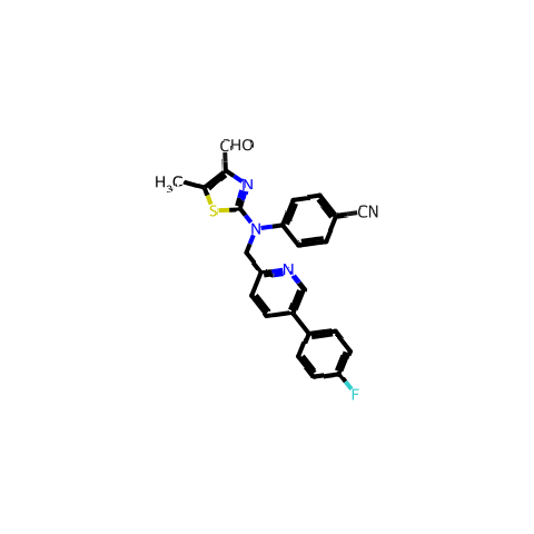 Cc1sc(N(Cc2ccc(-c3ccc(F)cc3)cn2)c2ccc(C#N)cc2)nc1C=O